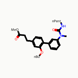 CCCCCNC(=O)N(C)c1cccc(-c2ccc(CCC(=O)OC)cc2OCCCC)c1